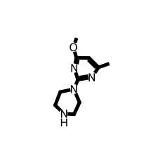 COc1cc(C)nc(N2CCNCC2)n1